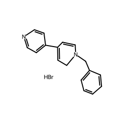 Br.C1=CN(Cc2ccccc2)CC=C1c1ccncc1